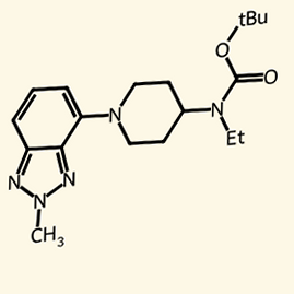 CCN(C(=O)OC(C)(C)C)C1CCN(c2cccc3nn(C)nc23)CC1